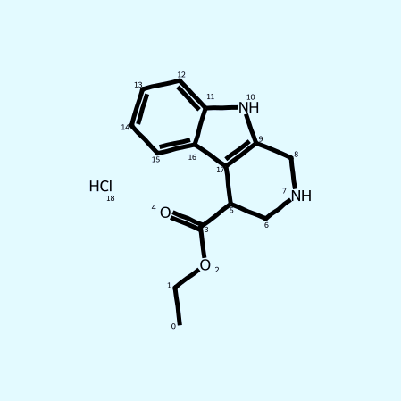 CCOC(=O)C1CNCc2[nH]c3ccccc3c21.Cl